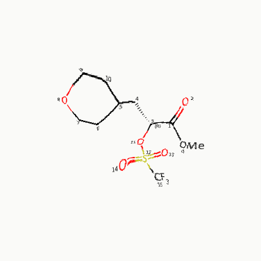 COC(=O)[C@@H](CC1CCOCC1)OS(=O)(=O)C(F)(F)F